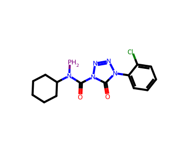 O=C(N(P)C1CCCCC1)n1nnn(-c2ccccc2Cl)c1=O